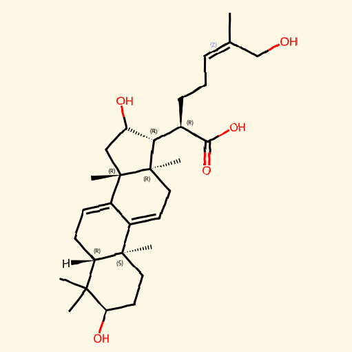 C/C(=C/CC[C@@H](C(=O)O)[C@H]1C(O)C[C@@]2(C)C3=CC[C@H]4C(C)(C)C(O)CC[C@]4(C)C3=CC[C@]12C)CO